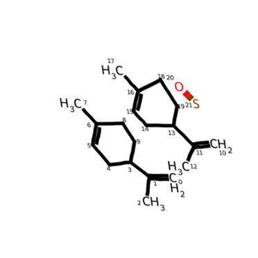 C=C(C)C1CC=C(C)CC1.C=C(C)C1CC=C(C)CC1.O=S